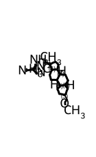 COC[C@H]1CC[C@@H]2C3CC[C@@]4(C)C(CCC4[C@@H](C)n4ncc(C#N)c4N)[C@@H]3CC[C@@H]2C1